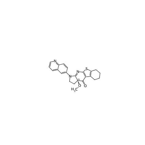 CO[C@@]12CCN(c3ccc4ncccc4c3)C1=Nc1sc3c(c1C2=O)CCCC3